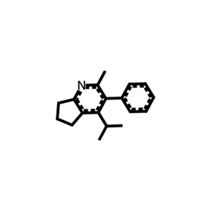 Cc1nc2c(c(C(C)C)c1-c1ccccc1)CCC2